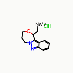 CNCC1OCCCn2nc3ccccc3c21.Cl